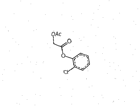 CC(=O)OCC(=O)Oc1ccccc1Cl